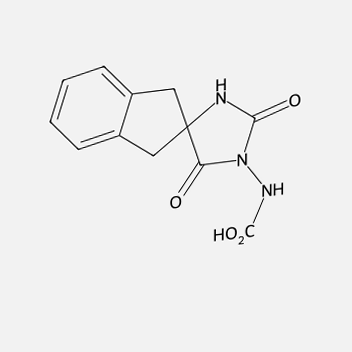 O=C(O)NN1C(=O)NC2(Cc3ccccc3C2)C1=O